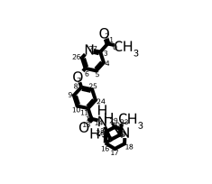 CC(=O)c1ccc(Oc2ccc(C(=O)N[C@@H]3C4CCN(CC4)[C@H]3C)cc2)cn1